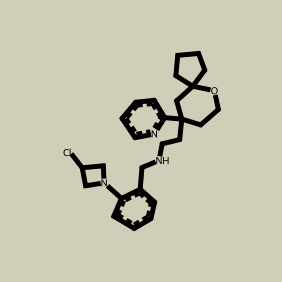 ClC1CN(c2ccccc2CNCCC2(c3ccccn3)CCOC3(CCCC3)C2)C1